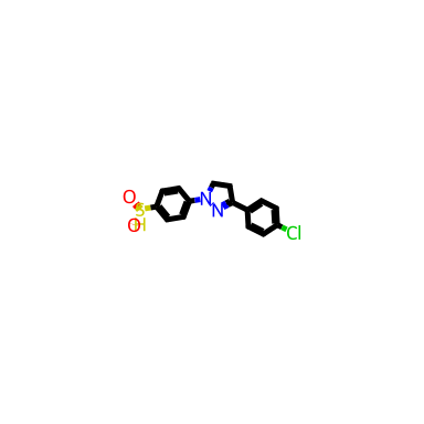 O=[SH](=O)c1ccc(N2CCC(c3ccc(Cl)cc3)=N2)cc1